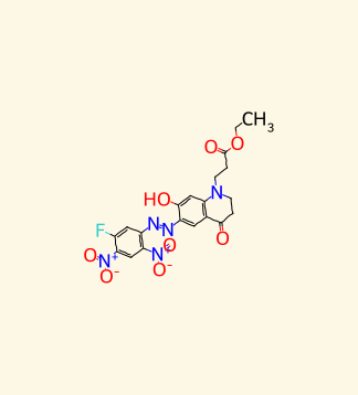 CCOC(=O)CCN1CCC(=O)c2cc(/N=N/c3cc(F)c([N+](=O)[O-])cc3[N+](=O)[O-])c(O)cc21